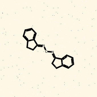 c1ccc2c(c1)CCC2=NON=C1CCc2ccccc21